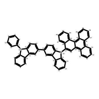 c1ccc(-n2c3ccccc3c3cc(-c4ccc5c(c4)c4ccccc4n5-c4cc5c6ccccc6c6ccccc6c5c5ccccc45)ccc32)cc1